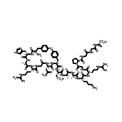 C[C@H](NC(=O)CNC(=O)CNC(=O)[C@@H]1CCCN1C(=O)CNC(=O)[C@H](CCCNC(=N)N)NC(=O)[C@H](CCCCN)NC(=O)[C@H](C)NC(=O)[C@H](C)NC(=O)[C@H](CC(=O)O)NC(=O)[C@H](Cc1ccc(O)cc1)NC(=O)[C@H](CC(N)=O)NC(=O)CNC(=O)[C@H](CCCNC(=N)N)NC(=O)[C@H](C)NC(=O)[C@H](Cc1c[nH]cn1)NC(=O)[C@@H](N)Cc1ccccc1)C(=O)O